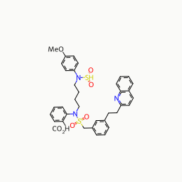 COc1ccc(N(CCCCN(c2ccccc2C(=O)O)S(=O)(=O)Cc2cccc(CCc3ccc4ccccc4n3)c2)[SH](=O)=O)cc1